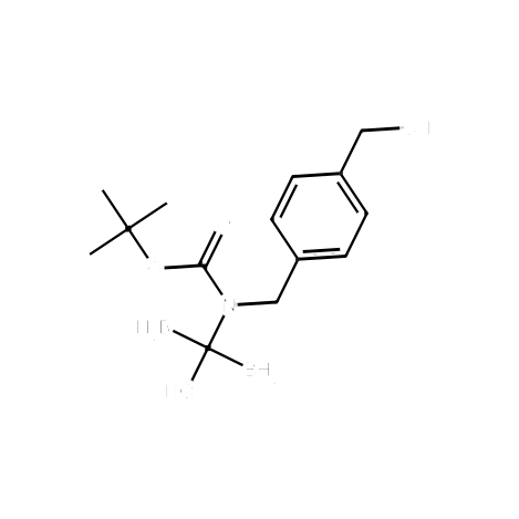 BC(B)(O)N(Cc1ccc(CO)cc1)C(=O)OC(C)(C)C